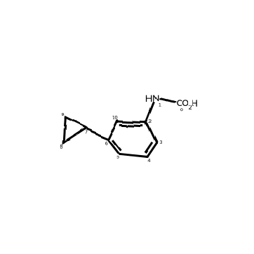 O=C(O)Nc1cccc(C2CC2)c1